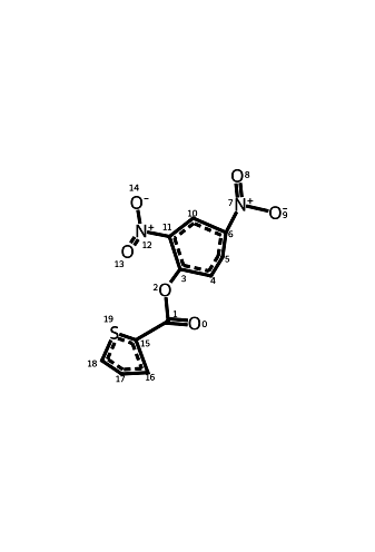 O=C(Oc1ccc([N+](=O)[O-])cc1[N+](=O)[O-])c1cccs1